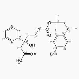 C[C@@H](CC(C)(C)OC(=O)NCCC(O)(CC(=O)O)c1ccccc1)c1ccc(Br)cc1